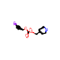 O=C(OCC#CI)OCc1ccncc1